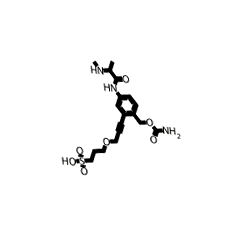 CNC(C)C(=O)Nc1ccc(COC(N)=O)c(C#CCOCCCS(=O)(=O)O)c1